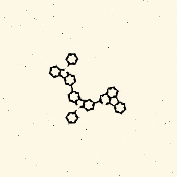 c1ccc(-n2c3ccccc3c3cc(-c4ccc5c(c4)c4cc(-c6cc7cccc8c7c(n6)-c6ccccc6-8)ccc4n5-c4ccccc4)ccc32)cc1